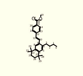 CCCCc1cc2c(cc1/C=C/c1ccc(C(=O)OC)cc1)C(C)(C)CCC2(C)C